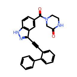 O=C1CN(C(=O)c2ccc3[nH]nc(C#Cc4ccccc4-c4ccccc4)c3c2)CCN1